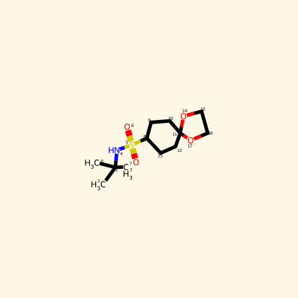 CC(C)(C)NS(=O)(=O)C1CCC2(CC1)OCCO2